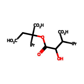 CC(C)C(C(=O)O)C(O)C(=O)OC(CC(=O)O)(C(=O)O)C(C)C